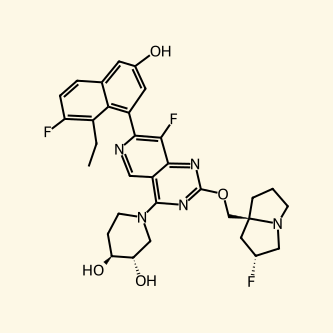 CCc1c(F)ccc2cc(O)cc(-c3ncc4c(N5CC[C@H](O)[C@@H](O)C5)nc(OC[C@@]56CCCN5C[C@H](F)C6)nc4c3F)c12